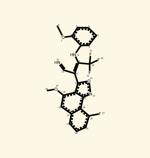 COc1ccccc1N/C(=C(\C=N)c1onc2c1c(OC)cc1cccc(F)c12)C(F)(F)F